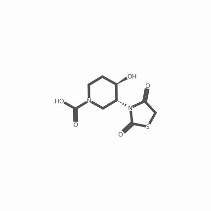 O=C(O)N1CC[C@@H](O)[C@H](N2C(=O)CSC2=O)C1